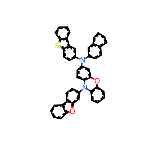 c1ccc2c(c1)Oc1cc(N(c3ccc4ccccc4c3)c3ccc4sc5ccccc5c4c3)ccc1N2c1ccc2c(c1)oc1ccccc12